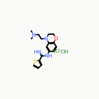 CN(C)CCN1CCOc2ccc(NC(=N)c3cccs3)cc21.Cl.Cl